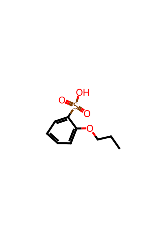 CCCOc1ccccc1S(=O)(=O)O